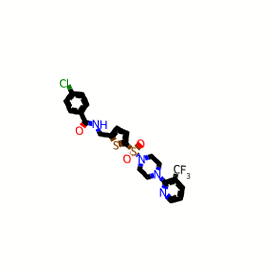 O=C(NCc1ccc(S(=O)(=O)N2CCN(c3ncccc3C(F)(F)F)CC2)s1)c1ccc(Cl)cc1